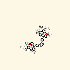 CC(C)c1cc(C(C)C)c(B2c3ccccc3N(c3ccc(-c4cc(-c5ccc(N6c7ccccc7B(c7c(C(C)C)cc(C(C)C)cc7C(C)C)c7ccccc76)cc5)ncn4)cc3)c3ccccc32)c(C(C)C)c1